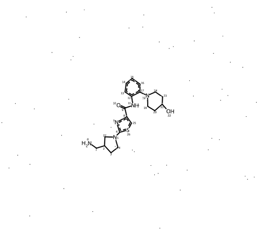 NCC1CCN(c2nc(C(=O)Nc3ccccc3N3CCC(O)CC3)cs2)C1